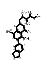 CCCC(CC1CC(=O)c2c(C)c(-c3ccc4c(c3)CCC4)cc(C(C)C)c2C1)C(CC)C(=O)CC(C)=O